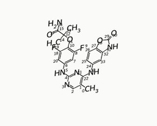 Cc1cnc(Nc2cc(F)c(OC(C)(C)C(N)=O)c(F)c2)nc1Nc1ccc2oc(=O)[nH]c2c1